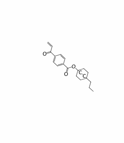 C=CC(=O)c1ccc(C(=O)OC23CCC(CCC)(CC2)CC3)cc1